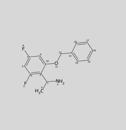 CC(N)c1c(F)cc(F)cc1OCc1ccccc1